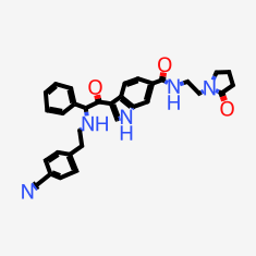 N#Cc1ccc(CCNC(C(=O)c2c[nH]c3cc(C(=O)NCCN4CCCC4=O)ccc23)c2ccccc2)cc1